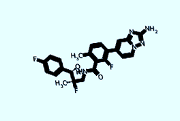 Cc1ccc(-c2ccn3nc(N)nc3c2)c(F)c1C(=O)NC[C@@](C)(F)[C@@H](O)c1ccc(F)cc1